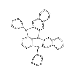 c1ccc(N2c3cc4ccccc4cc3N3c4cc5ccccc5cc4N(c4ccccc4)c4cccc2c43)cc1